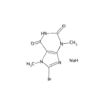 Cn1c(Br)nc2c1c(=O)[nH]c(=O)n2C.[NaH]